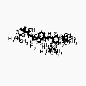 C=C1/C(=C/C=C2\CCC[C@]3(C)[C@@H]([C@H](C)/C=C/[C@H](O)C4(OC(=O)N(C)C)CC4)CC[C@@H]23)C[C@@H](O[Si](C)(C)C(C)(C)C)C[C@@H]1O[Si](C)(C)C(C)(C)C